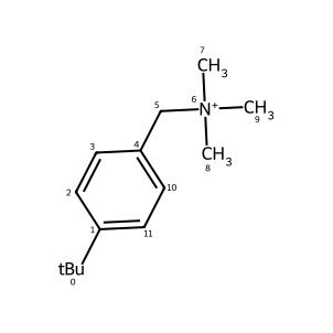 CC(C)(C)c1ccc(C[N+](C)(C)C)cc1